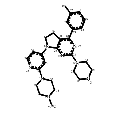 CC(=O)N1CCN(c2cc(N3CCc4c(-c5cccc(C)c5)nc(N5CCOCC5)nc43)ccn2)CC1